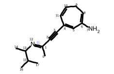 C/C(C#CC1=CC(N)=CCC=C1)=N\C(C)C(C)C